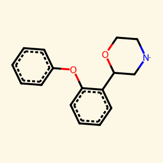 c1ccc(Oc2ccccc2C2C[N]CCO2)cc1